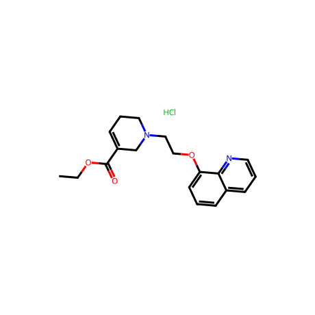 CCOC(=O)C1=CCCN(CCOc2cccc3cccnc23)C1.Cl